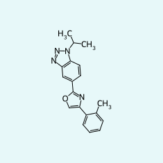 Cc1ccccc1-c1coc(-c2ccc3c(c2)nnn3C(C)C)n1